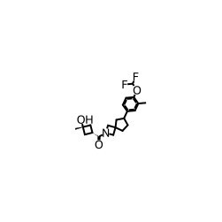 Cc1cc(C2CCC3(C2)CN(C(=O)[C@H]2C[C@@](C)(O)C2)C3)ccc1OC(F)F